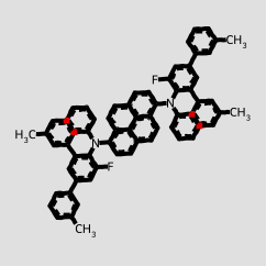 Cc1cccc(-c2cc(F)c(N(c3ccccc3)c3ccc4ccc5c(N(c6ccccc6)c6c(F)cc(-c7cccc(C)c7)cc6-c6cccc(C)c6)ccc6ccc3c4c65)c(-c3cccc(C)c3)c2)c1